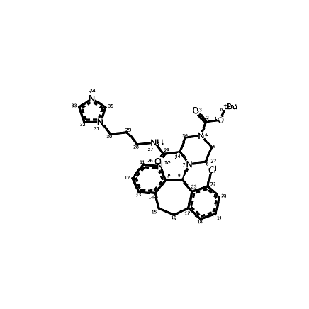 CC(C)(C)OC(=O)N1CCN([C@@H]2c3ncccc3CCc3cccc(Cl)c32)C(C(=O)NCCCn2ccnc2)C1